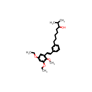 CCOc1cc(C=Cc2cccc(CCCCCC(O)C(C)C)c2)c(OC)c(OCC)c1